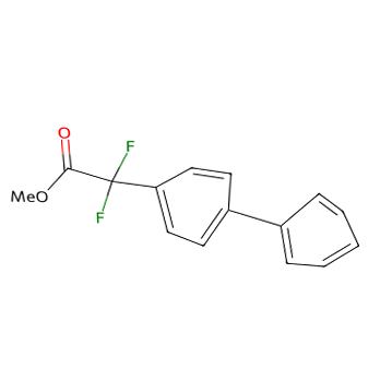 COC(=O)C(F)(F)c1ccc(-c2ccccc2)cc1